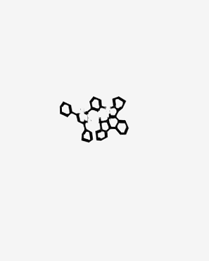 CC1(C)c2ccccc2-c2c1c1c(c3ccccc23)c2ccccc2n1-c1cccc(-c2nc(-c3ccccc3)cc(-c3ccccc3)n2)c1